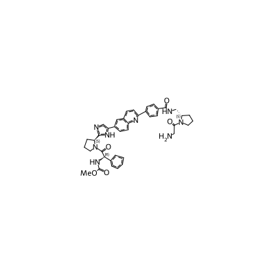 COC(=O)N[C@@H](C(=O)N1CCC[C@H]1c1ncc(-c2ccc3nc(-c4ccc(C(=O)NC[C@@H]5CCCN5C(=O)CN)cc4)ccc3c2)[nH]1)c1ccccc1